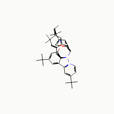 C=C1CC[N+]23c4c(cc(C(C)(C)C)cc4/C1=C/C(=C\C)C(C)(C)C)Oc1cc(C(C)(C)C)cc(c12)-c1cc(C(C)(C)C)cc[n+]13